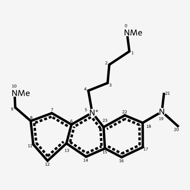 CNCCCC[n+]1c2cc(CNC)ccc2cc2ccc(N(C)C)cc21